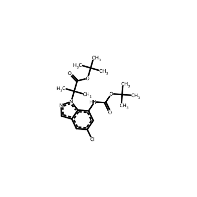 CC(C)(C)OC(=O)Nc1cc(Cl)cc2cnn(C(C)(C)C(=O)OC(C)(C)C)c12